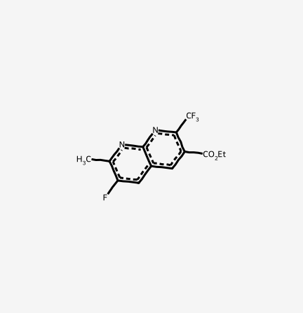 CCOC(=O)c1cc2cc(F)c(C)nc2nc1C(F)(F)F